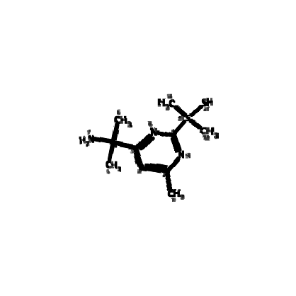 Cc1cc(C(C)(C)N)nc(S(C)(C)S)n1